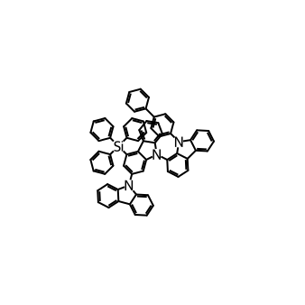 c1ccc(-c2ccc(-n3c4ccccc4c4cccc(-n5c6ccccc6c6c([Si](c7ccccc7)(c7ccccc7)c7ccccc7)cc(-n7c8ccccc8c8ccccc87)cc65)c43)cc2)cc1